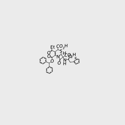 CCC(=O)C1=C(C(=O)OC(c2ccccc2)c2ccccc2)N2C(=O)C(NC(=O)Cc3cccs3)(C(=O)O)[C@@H]2SC1C(=O)O